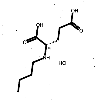 CCCCN[C@@H](CCC(=O)O)C(=O)O.Cl